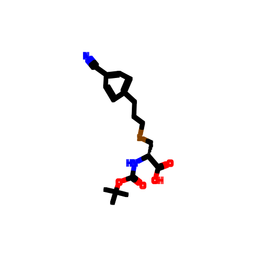 CC(C)(C)OC(=O)N[C@H](CSCCCc1ccc(C#N)cc1)C(=O)O